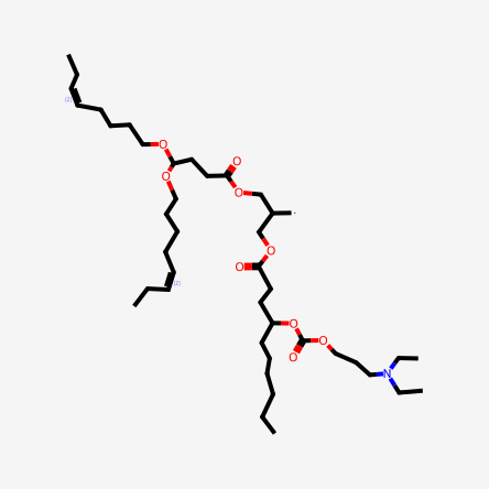 [CH2]C(COC(=O)CCC(CCCCCC)OC(=O)OCCCN(CC)CC)COC(=O)CCC(OCCCC/C=C\CC)OCCCC/C=C\CC